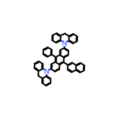 c1ccc(-c2c3cc(N4c5ccccc5Cc5ccccc54)ccc3c(-c3ccc4ccccc4c3)c3ccc(N4c5ccccc5Cc5ccccc54)cc23)cc1